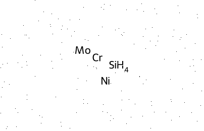 [Cr].[Mo].[Ni].[SiH4]